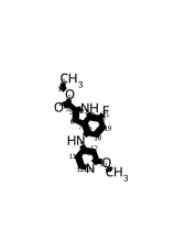 CCOC(=O)c1cc2c(Nc3ccnc(OC)c3)ccc(F)c2[nH]1